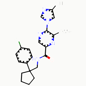 COc1nc(C(=O)NCC2(c3ccc(Cl)cc3)CCCC2)cnc1-n1cnc(C)c1